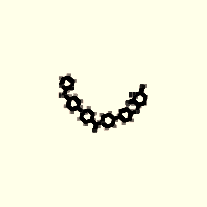 O=C1CCC(Oc2ccc(C3CCN(C(=O)C4CCN(c5ccc(Nc6ncccn6)cc5)CC4)CC3)cc2)C(=O)N1